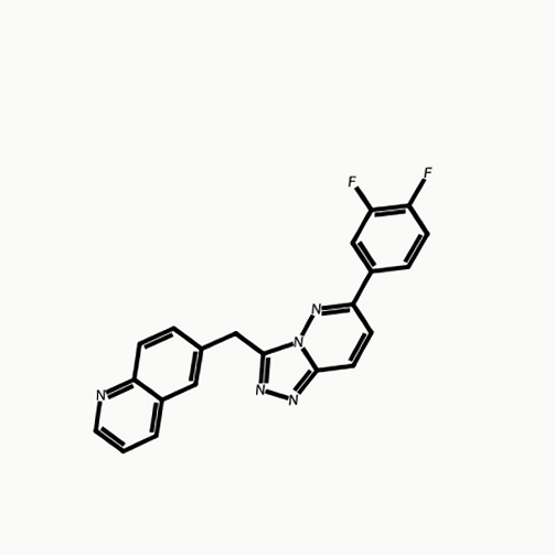 Fc1ccc(-c2ccc3nnc(Cc4ccc5ncccc5c4)n3n2)cc1F